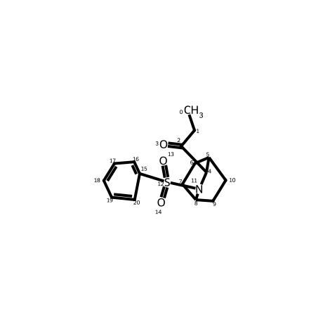 CCC(=O)C1C2CCC(CC2)N1S(=O)(=O)c1ccccc1